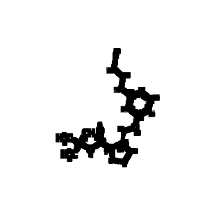 CC(C)(C)OC(=O)N1CCC[C@H]1COc1cncc(CCCF)c1